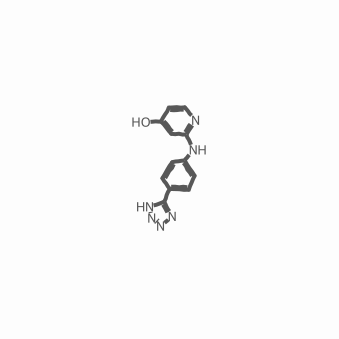 Oc1ccnc(Nc2ccc(-c3nnn[nH]3)cc2)c1